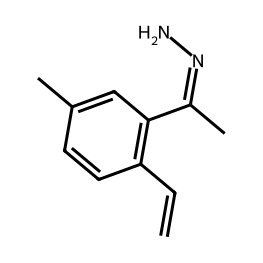 C=Cc1ccc(C)cc1/C(C)=N\N